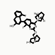 Oc1cc(-c2ccc3c(N4C[C@H]5CC[C@@H](C4)S5)nc(OC[C@@]45CCCN4C[C@H](F)C5)nc3c2F)c2c(F)cccc2c1